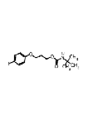 CC(C)(C)NC(=O)OCCCOc1ccc(I)cc1